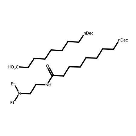 CCCCCCCCCCCCCCCCCC(=O)NCCN(CC)CC.CCCCCCCCCCCCCCCCCC(=O)O